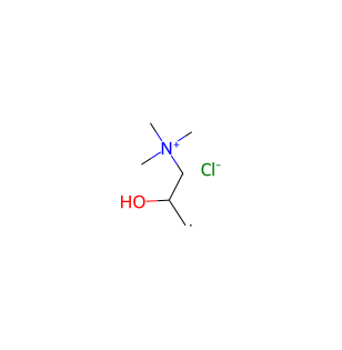 [CH2]C(O)C[N+](C)(C)C.[Cl-]